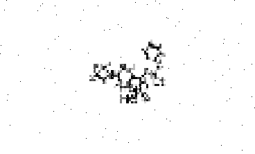 CCN(Cc1ccccc1)CC(OP(=O)(O)O)c1ccc(-n2ccnc2)cc1